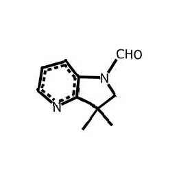 CC1(C)CN(C=O)c2cccnc21